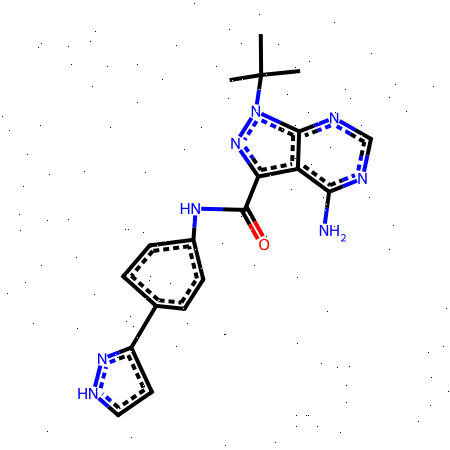 CC(C)(C)n1nc(C(=O)Nc2ccc(-c3cc[nH]n3)cc2)c2c(N)ncnc21